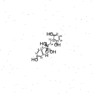 OC[C@](O)(Cc1ccc(O)cc1)N(O)CCc1c(O)cccc1O